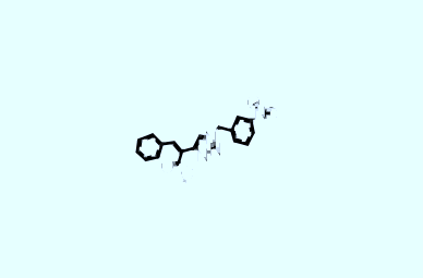 COC(=O)C(=Cc1ccccc1)c1cn(Cc2cccc([N+](=O)[O-])c2)nn1